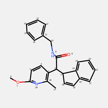 COc1ccc(C(C(=O)NCc2ccccc2)C2C=Cc3ccccc32)c(C)n1